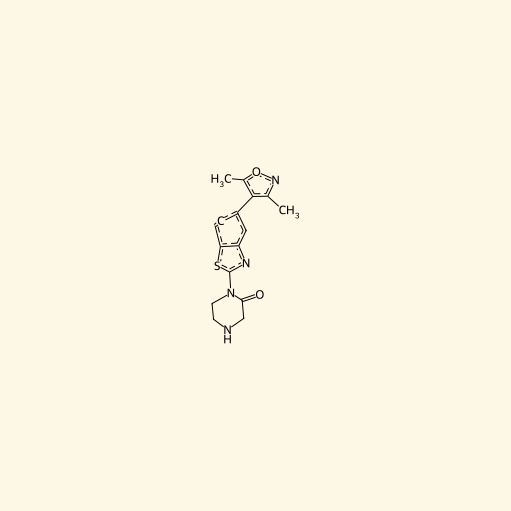 Cc1noc(C)c1-c1ccc2sc(N3CCNCC3=O)nc2c1